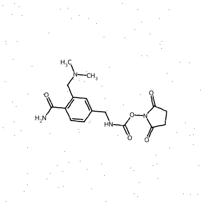 CN(C)Cc1cc(CNC(=O)ON2C(=O)CCC2=O)ccc1C(N)=O